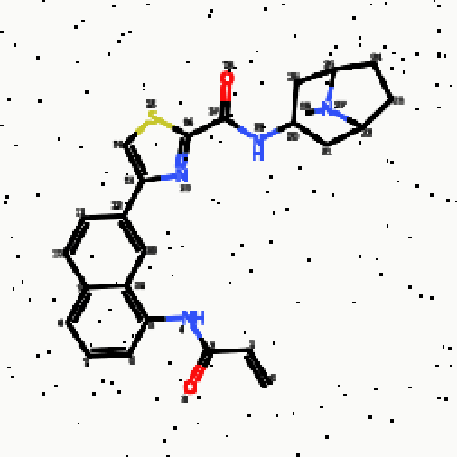 C=CC(=O)Nc1cccc2ccc(-c3csc(C(=O)NC4CC5CCC(C4)N5C)n3)cc12